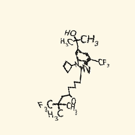 CC(C)(O)c1cc(C(F)(F)F)c2nc(CCCCC(=O)CC(C)(C)C(F)(F)F)n(C3CCC3)c2c1